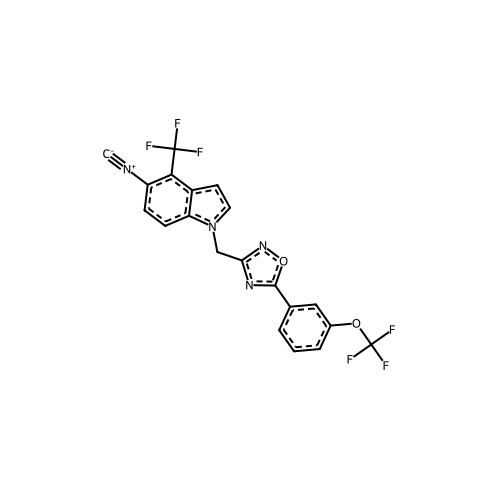 [C-]#[N+]c1ccc2c(ccn2Cc2noc(-c3cccc(OC(F)(F)F)c3)n2)c1C(F)(F)F